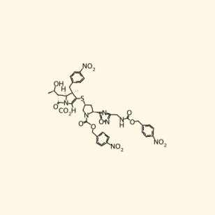 C[C@@H](O)[C@H]1C(=O)N2C(C(=O)O)=C(S[C@H]3C[C@@H](c4nc(CNC(=O)OCc5ccc([N+](=O)[O-])cc5)no4)N(C(=O)OCc4ccc([N+](=O)[O-])cc4)C3)[C@](C)(Cc3ccc([N+](=O)[O-])cc3)[C@H]12